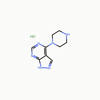 Cl.c1nc(N2CCNCC2)c2cn[nH]c2n1